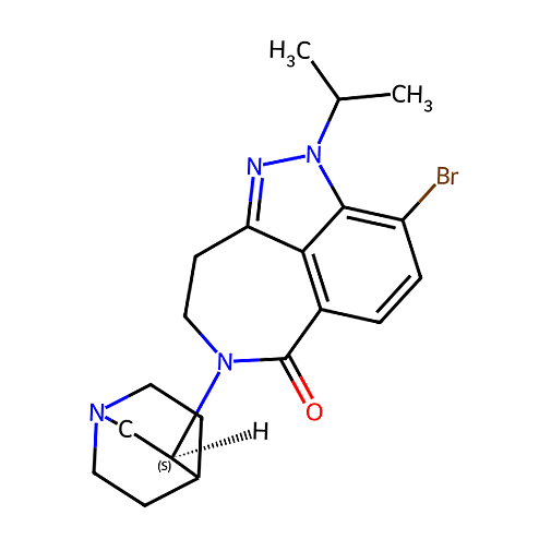 CC(C)n1nc2c3c(ccc(Br)c31)C(=O)N([C@@H]1CN3CCC1CC3)CC2